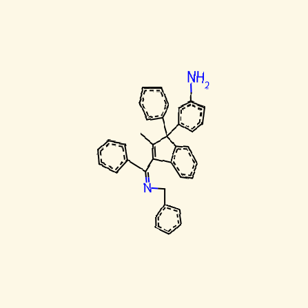 CC1=C(/C(=N\Cc2ccccc2)c2ccccc2)c2ccccc2C1(c1ccccc1)c1cccc(N)c1